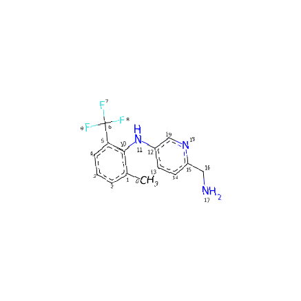 Cc1cccc(C(F)(F)F)c1Nc1ccc(CN)nc1